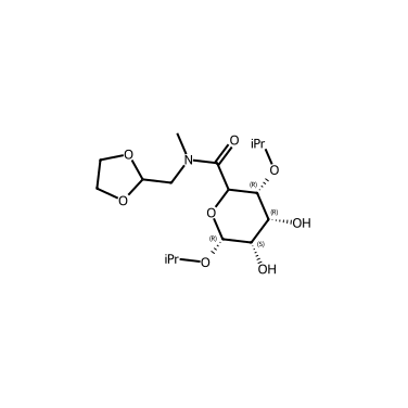 CC(C)O[C@@H]1OC(C(=O)N(C)CC2OCCO2)[C@H](OC(C)C)[C@H](O)[C@@H]1O